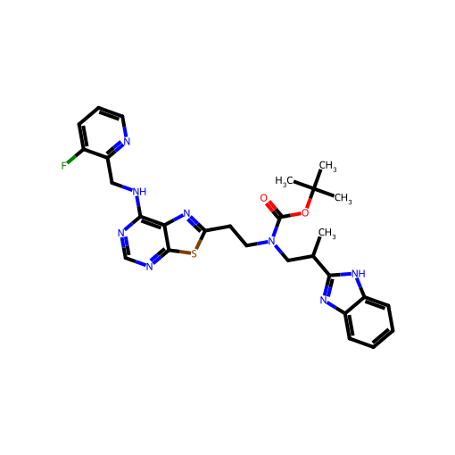 CC(CN(CCc1nc2c(NCc3ncccc3F)ncnc2s1)C(=O)OC(C)(C)C)c1nc2ccccc2[nH]1